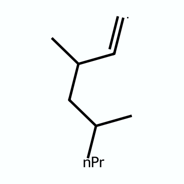 [CH]=CC(C)CC(C)CCC